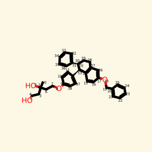 CC(O)(CCO)CCOc1ccc([C@@H]2c3ccc(OCc4ccccc4)cc3CC[C@@H]2c2ccccc2)cc1